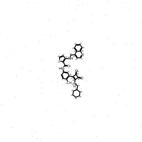 Cc1ccc(NC(=O)c2sccc2NCc2ccnc3ccccc23)cc1-c1c(NCC2CCCCC2)c(=O)c1=O